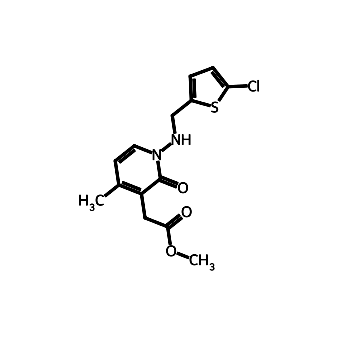 COC(=O)Cc1c(C)ccn(NCc2ccc(Cl)s2)c1=O